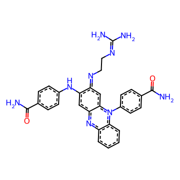 NC(=O)c1ccc(Nc2cc3nc4ccccc4n(-c4ccc(C(N)=O)cc4)c-3c/c2=N\CCN=C(N)N)cc1